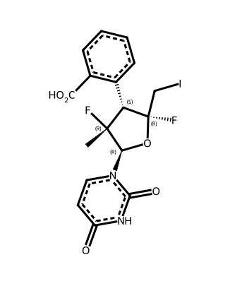 C[C@]1(F)[C@H](n2ccc(=O)[nH]c2=O)O[C@](F)(CI)[C@H]1c1ccccc1C(=O)O